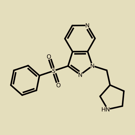 O=S(=O)(c1ccccc1)c1nn(CC2CCNC2)c2cnccc12